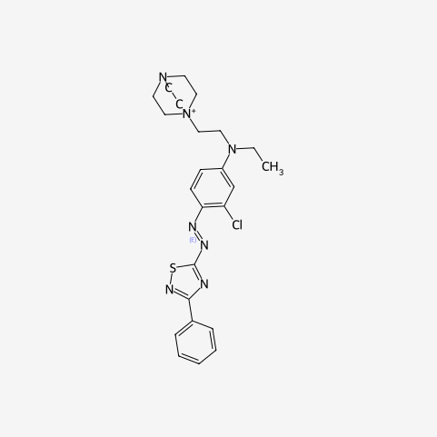 CCN(CC[N+]12CCN(CC1)CC2)c1ccc(/N=N/c2nc(-c3ccccc3)ns2)c(Cl)c1